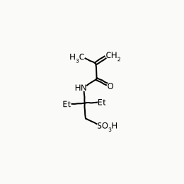 C=C(C)C(=O)NC(CC)(CC)CS(=O)(=O)O